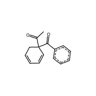 CC(=O)C1(C(=O)c2ccccc2)C=CC=CC1